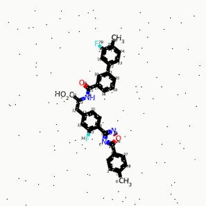 Cc1ccc(-c2nc(-c3ccc(CC(NC(=O)c4cccc(-c5ccc(C)c(F)c5)c4)C(=O)O)cc3F)no2)cc1